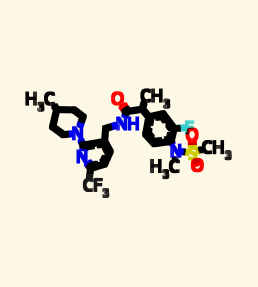 CC1CCN(c2nc(C(F)(F)F)ccc2CNC(=O)C(C)c2ccc(N(C)S(C)(=O)=O)c(F)c2)CC1